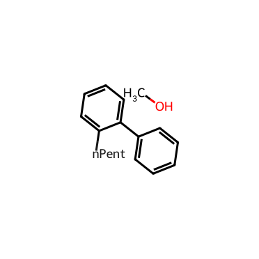 CCCCCc1ccccc1-c1ccccc1.CO